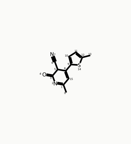 CC1=NC(=O)C(C#N)C(c2ccc(C)s2)=C1